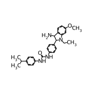 CCN1c2cc(OC)ccc2C(N)C1c1ccc(NC(=O)Nc2ccc(C(C)C)cc2)cc1